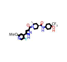 COc1cc(-c2cc(C(=O)N3CC[C@H](C(=O)NC4CCC(O)(C(F)(F)F)CC4)C[C@H]3C)n[nH]2)c(F)cn1